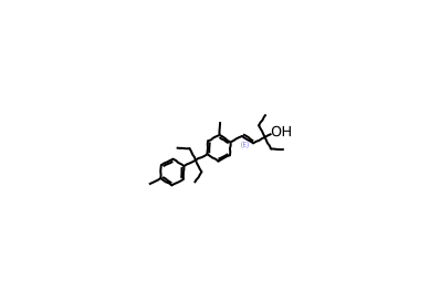 CCC(O)(/C=C/c1ccc(C(CC)(CC)c2ccc(C)cc2)cc1C)CC